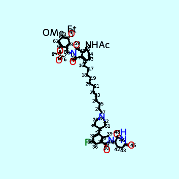 CCOc1cc([C@@H](CS(C)(=O)=O)N2C(=O)c3c(CCCCCCCCCCCCN4CCC(c5cc(F)cc6c5CN(C5CCC(=O)NC5=O)C6=O)CC4)ccc(NC(C)=O)c3C2=O)ccc1OC